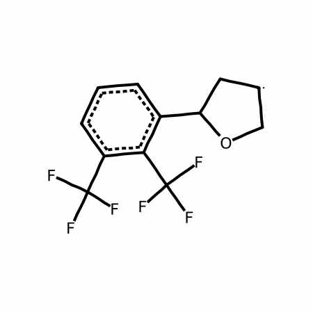 FC(F)(F)c1cccc(C2C[CH]CO2)c1C(F)(F)F